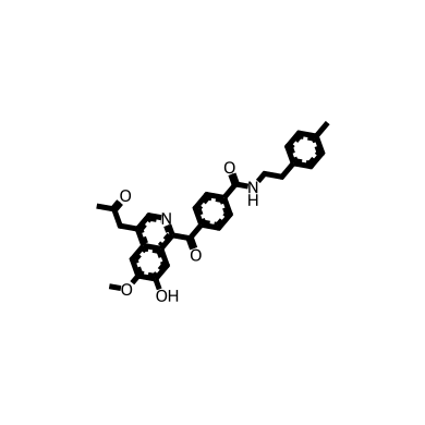 COc1cc2c(CC(C)=O)cnc(C(=O)c3ccc(C(=O)NCCc4ccc(C)cc4)cc3)c2cc1O